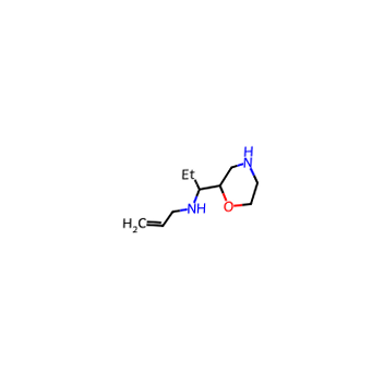 C=CCNC(CC)C1CNCCO1